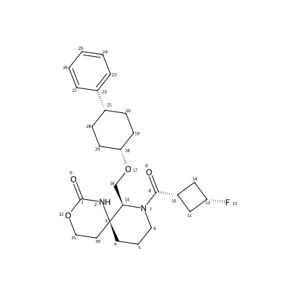 O=C1N[C@@]2(CCCN(C(=O)[C@H]3C[C@@H](F)C3)[C@@H]2CO[C@H]2CC[C@@H](c3ccccc3)CC2)CCO1